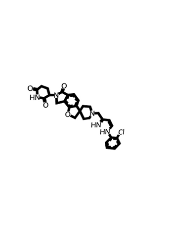 N=C(/C=C\Nc1ccccc1Cl)CN1CCC2(CC1)COc1c2ccc2c1CN(C1CCC(=O)NC1=O)C2=O